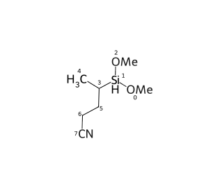 CO[SiH](OC)C(C)CCC#N